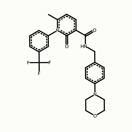 Cc1ccc(C(=O)NCc2ccc(N3CCOCC3)cc2)c(=O)n1-c1cccc(C(F)(F)F)c1